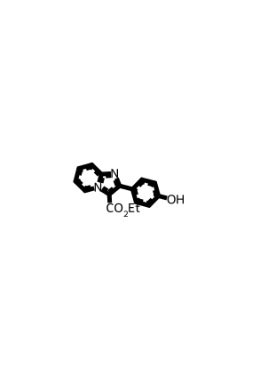 CCOC(=O)c1c(-c2ccc(O)cc2)nc2ccccn12